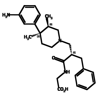 C[C@H]1CN(C[C@H](Cc2ccccc2)C(=O)NCC(=O)O)CC[C@@]1(C)c1cccc(N)c1